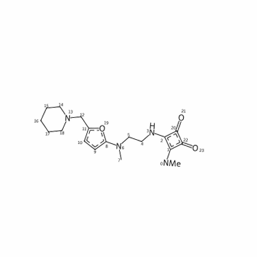 CNc1c(NCCN(C)c2ccc(CN3CCCCC3)o2)c(=O)c1=O